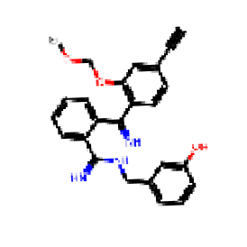 C#Cc1ccc(C(=N)c2ccccc2C(=N)NCc2cccc(O)c2)c(OCOCC)c1